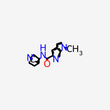 Cn1ccc2cc(C(=O)NC3CN4CCC3CC4)ncc21